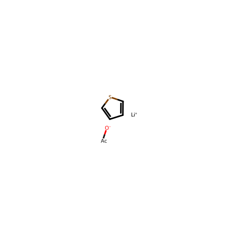 CC(=O)[O-].[Li+].c1ccsc1